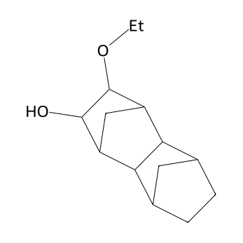 CCOC1C(O)C2CC1C1C3CCC(C3)C21